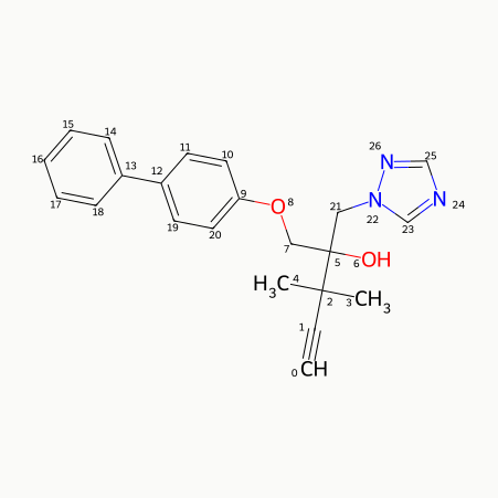 C#CC(C)(C)C(O)(COc1ccc(-c2ccccc2)cc1)Cn1cncn1